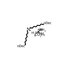 CC(=O)O.CCCCCCCCCCCCCCCCCC[N+](C)(C)CCCCCCCCCCCCCCCCCC.N.N=C(N)N